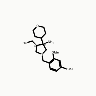 COc1ccc(CN2C[C@@H](CO)[C@](N)(C3CCOCC3)C2)c(OC)c1